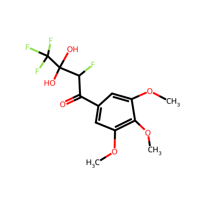 COc1cc(C(=O)C(F)C(O)(O)C(F)(F)F)cc(OC)c1OC